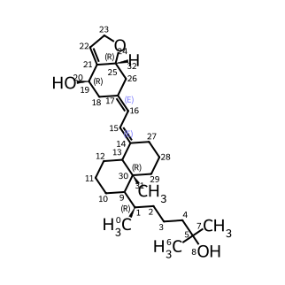 C[C@H](CCCC(C)(C)O)C1CCCC2/C(=C/C=C3\C[C@@H](O)C4=CCO[C@@H]4C3)CCC[C@@]21C